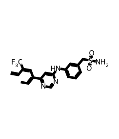 C=C/C(=C\C(=C/C)c1cc(Nc2cccc(CS(N)(=O)=O)c2)ncn1)C(F)(F)F